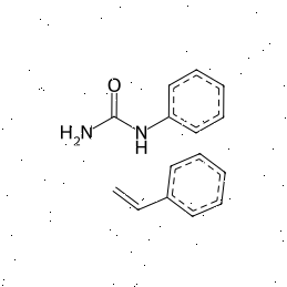 C=Cc1ccccc1.NC(=O)Nc1ccccc1